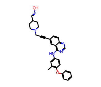 Cc1cc(Nc2ncnc3ccc(C#CCN4CCC(C=NO)CC4)cc23)ccc1Oc1ccccc1